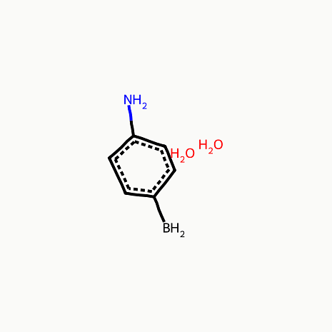 Bc1ccc(N)cc1.O.O